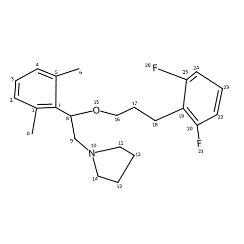 Cc1cccc(C)c1C(CN1CCCC1)OCCCc1c(F)cccc1F